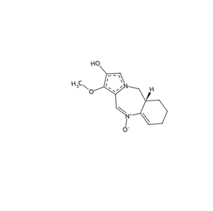 COc1c(O)cn2c1C=[N+]([O-])C1=CCCC[C@H]1C2